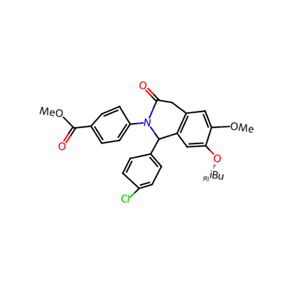 CC[C@@H](C)Oc1cc2c(cc1OC)CC(=O)N(c1ccc(C(=O)OC)cc1)C2c1ccc(Cl)cc1